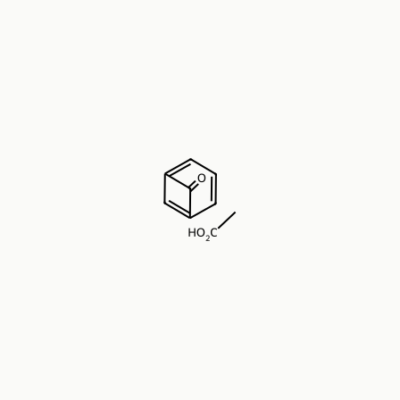 CC(=O)O.O=C1c2cccc1c2